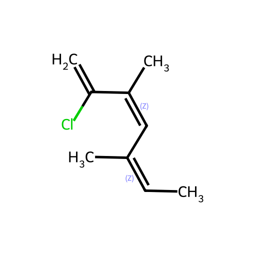 C=C(Cl)/C(C)=C\C(C)=C/C